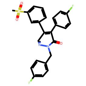 CS(=O)(=O)c1cccc(-c2cnn(Cc3ccc(F)cc3)c(=O)c2-c2ccc(F)cc2)c1